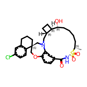 C[C@H]1CCCC[C@@H](O)[C@@H]2CC[C@H]2CN2C[C@@]3(CCCc4cc(Cl)ccc43)COc3ccc(cc32)C(=O)NS1(=O)=O